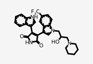 O=C1NC(=O)C(c2cn(CC(O)CN3CCCCC3)c3ccc(C(F)(F)F)cc23)=C1c1c[nH]c2ccccc12